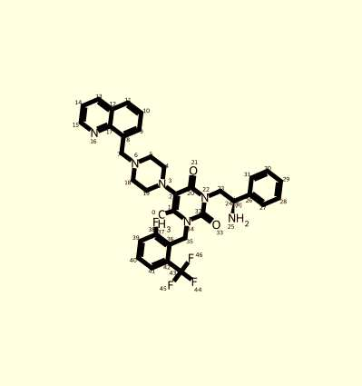 Cc1c(N2CCN(Cc3cccc4cccnc34)CC2)c(=O)n(C[C@H](N)c2ccccc2)c(=O)n1Cc1c(F)cccc1C(F)(F)F